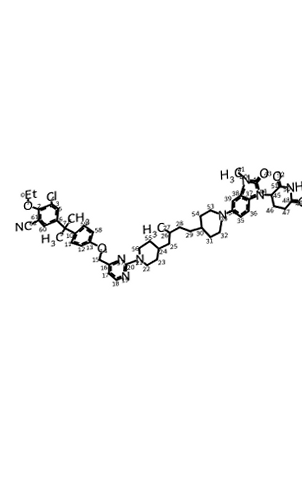 CCOc1c(Cl)cc(C(C)(C)c2ccc(OCc3ccnc(N4CCC(CC(C)CCC5CCN(c6ccc7c(c6)n(C)c(=O)n7C6CCC(=O)NC6=O)CC5)CC4)n3)cc2)cc1C#N